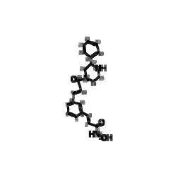 O=C(C=Cc1cccc(C=CC(=O)N2CCNC(c3ccccc3)C2)c1)NO